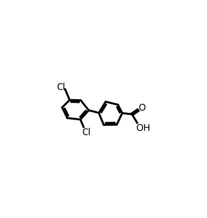 O=C(O)c1ccc(-c2cc(Cl)ccc2Cl)cc1